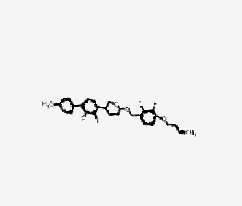 C=CCCOc1ccc(COC2CCC(c3ccc(-c4ccc(C)cc4)c(F)c3F)CC2)c(F)c1F